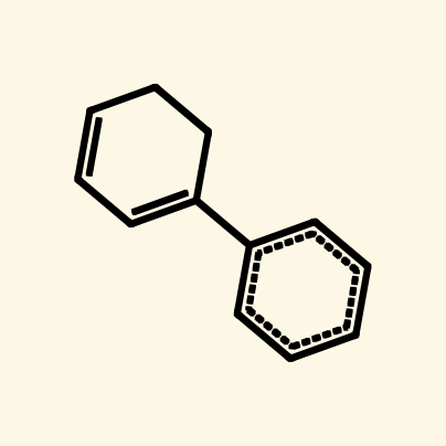 C1=CCCC(c2ccccc2)=C1